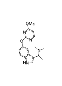 COc1ccnc(Oc2ccc3[nH]cc(C(C)N(C)C)c3c2)n1